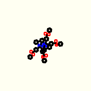 O=C(Oc1ccccc1)c1ccc(C2=NC(c3ccccc3-c3ccccc3)(n3c(-c4ccccc4-c4ccccc4)nc(-c4ccc(C(=O)Oc5ccccc5)cc4)c3-c3ccc(C(=O)Oc4ccccc4)cc3)N=C2c2ccc(C(=O)Oc3ccccc3)cc2)cc1